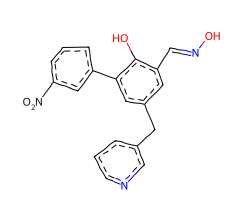 O=[N+]([O-])c1cccc(-c2cc(Cc3cccnc3)cc(C=NO)c2O)c1